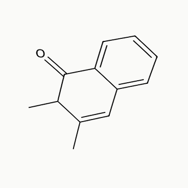 CC1=Cc2ccccc2C(=O)C1C